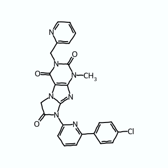 Cn1c(=O)n(Cc2ccccn2)c(=O)c2c1nc1n2CC(=O)N1c1cccc(-c2ccc(Cl)cc2)n1